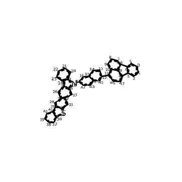 c1ccc2c(c1)-c1cccc3c(-c4ccc5cc(-n6c7ccccc7c7cc8cc9c(cc8cc76)sc6ccccc69)ccc5c4)ccc-2c13